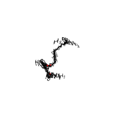 C[Si](C)(C)C#CCCCCCCCCCCCCCSCCOP(=O)(O)COCCn1cnc2c(=O)[nH]c(N)nc21